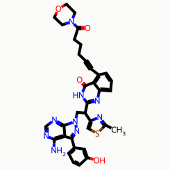 Cc1nc(C(Cn2nc(-c3cccc(O)c3)c3c(N)ncnc32)c2nc3cccc(C#CCCCC(=O)N4CCOCC4)c3c(=O)[nH]2)cs1